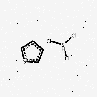 Cl[SiH](Cl)Cl.c1ccsc1